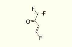 O=C(C=CF)C(F)F